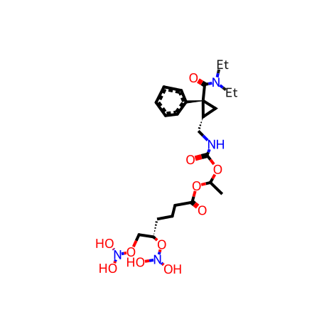 CCN(CC)C(=O)[C@]1(c2ccccc2)C[C@@H]1CNC(=O)OC(C)OC(=O)CCC[C@@H](CON(O)O)ON(O)O